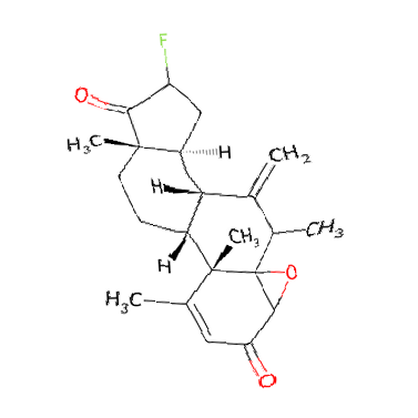 C=C1C(C)C23OC2C(=O)C=C(C)[C@]3(C)[C@@H]2CC[C@]3(C)C(=O)C(F)C[C@H]3[C@H]12